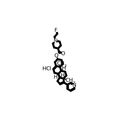 C[C@]12CC[C@H](OC(=O)C3CCN(CCF)CC3)CC1=CC[C@@H]1[C@@H]2CC[C@]2(C)C(c3cccnc3)=CC[C@@H]12.Cl